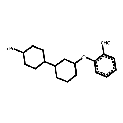 CCCC1CCC(C2CCCC(Oc3ccccc3C=O)C2)CC1